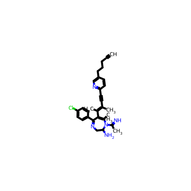 C#CCCCc1ccc(C#C/C(C)=C(\C)C2=C(C)N(C(C)=N)C(N)CN=C2c2ccc(Cl)cc2)nc1